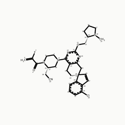 C=C(F)C(=O)N1CCN(c2nc(OC[C@@H]3CCCN3C)nc3c2CC[C@@]2(C=Cc4c(Cl)cccc42)C3)C[C@@H]1CC#N